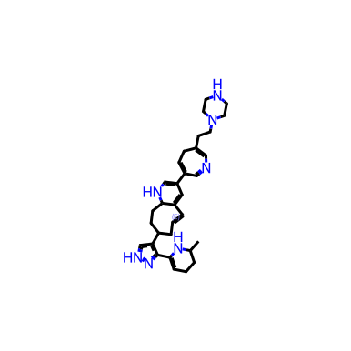 CC1CCC=C(c2n[nH]cc2C2C/C=C/C3=CC(C4=CCC(CCN5CCNCC5)=CN=C4)=CNC3CC2)N1